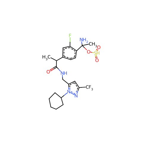 CC(C(=O)NCc1cc(C(F)(F)F)nn1C1CCCCC1)c1ccc(C(C)(N)O[SH](=O)=O)c(F)c1